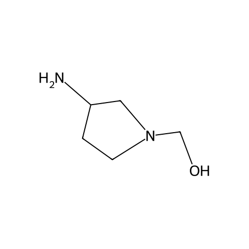 NC1CCN(CO)C1